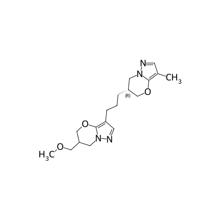 COCC1COc2c(CCC[C@H]3COc4c(C)cnn4C3)cnn2C1